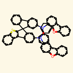 C1=CC(N(c2ccc3c(c2)C2(c4ccccc4-c4ccc(N(c5ccccc5)c5cccc6c5oc5ccccc56)cc42)c2sc4ccccc4c2-3)c2ccc3oc4ccccc4c3c2)=CCC1